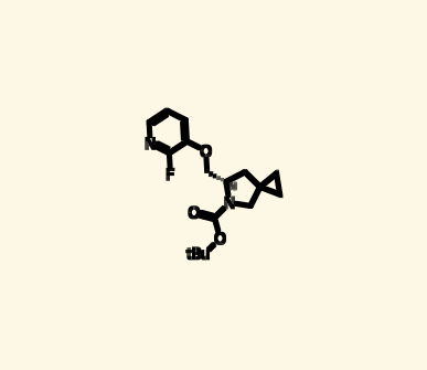 CC(C)(C)OC(=O)N1CC2(CC2)C[C@H]1COc1cccnc1F